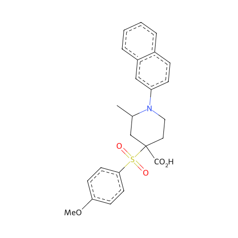 COc1ccc(S(=O)(=O)C2(C(=O)O)CCN(c3ccc4ccccc4c3)C(C)C2)cc1